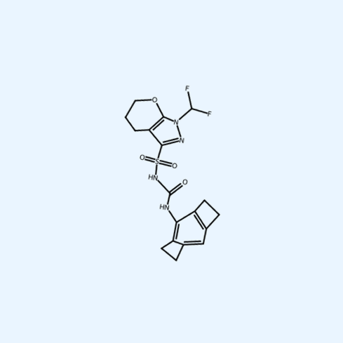 O=C(Nc1c2c(cc3c1CC3)CC2)NS(=O)(=O)c1nn(C(F)F)c2c1CCCO2